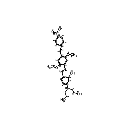 COc1cc(N=Nc2ccc(N(CCO)CCO)cc2O)c(OC)cc1N=Nc1ccc([N+](=O)[O-])cc1